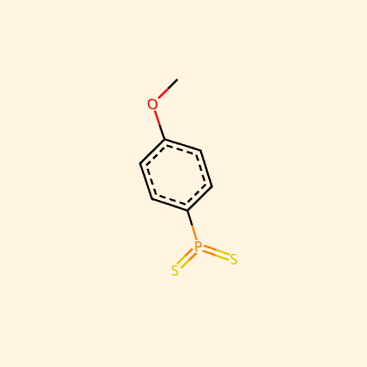 COc1ccc(P(=S)=S)cc1